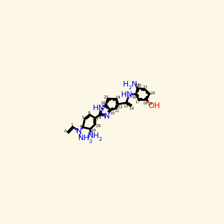 C=CN(N)C1C=CC(c2nc3cc(C(=C)Nc4cc(O)ccc4N)ccc3[nH]2)=CC1N